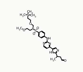 COCCN(COCC[Si](C)(C)C)S(=O)(=O)c1ccc(Nc2nccc(-c3cnc(C(C)CC=O)[nH]3)n2)cc1